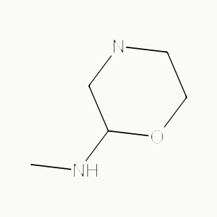 CNC1C[N]CCO1